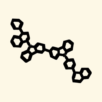 c1ccc(-c2ccc(-n3c4ccccc4c4cc(-c5ccc6c(c5)c5ccccc5n6-c5ccc(-c6cccc7ccccc67)cc5)ccc43)c3ccccc23)cc1